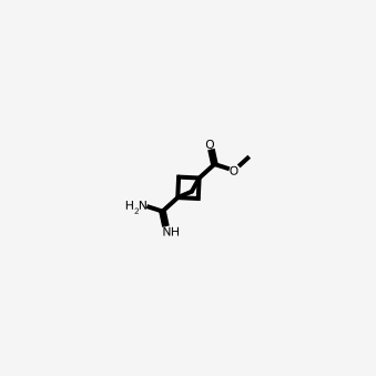 COC(=O)C12CC(C(=N)N)(C1)C2